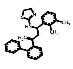 C=C(CC(NC1=NCCS1)c1cccc(C)c1C)c1ccccc1-c1ccccc1